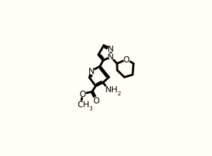 COC(=O)c1cnc(-c2ccnn2C2CCCCO2)cc1N